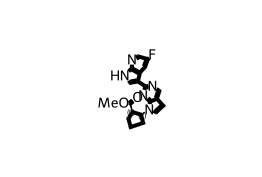 COC(=O)[C@@H]1CCC[C@H]1n1ccc2cnc(-c3c[nH]c4ncc(F)cc34)nc21